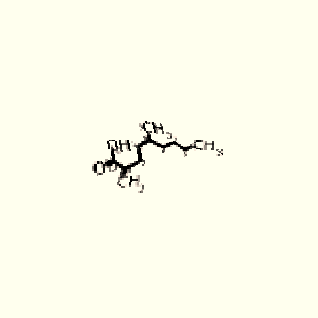 C=C(CCC(C)CCCC)C(=O)O